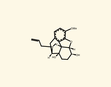 C=CCN1CCC23c4c5ccc(OC)c4O[C@@H]2[C@@H](O)CC[C@]3(O)[C@@H]1C5